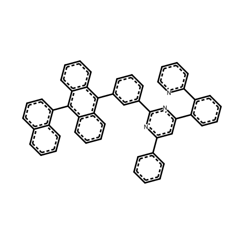 c1ccc(-c2cc(-c3ccccc3-c3ccccn3)nc(-c3cccc(-c4c5ccccc5c(-c5cccc6ccccc56)c5ccccc45)c3)n2)cc1